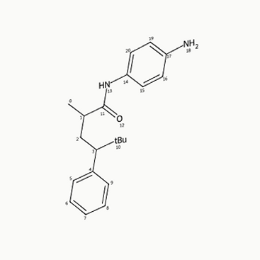 CC(CC(c1ccccc1)C(C)(C)C)C(=O)Nc1ccc(N)cc1